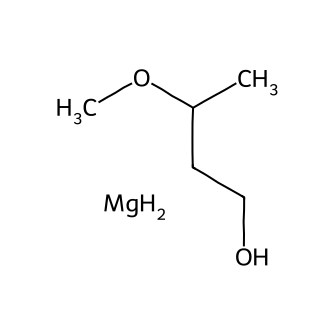 COC(C)CCO.[MgH2]